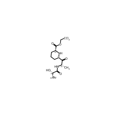 CC[C@H](C)[C@H](O)C(=O)N[C@@H](C)C(=O)N1CCC[C@@H](C(=O)OCC(Cl)(Cl)Cl)N1